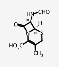 CC1=C(C(=O)O)N2C(=O)[C@@H](NC=O)[C@H]2SC1